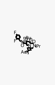 CCCCOc1c2n(cc(C(=O)NCc3ccc(F)cc3F)c1=O)C1(CC(N(C)C(C)=O)C1)CN(C(C)C)C2=O